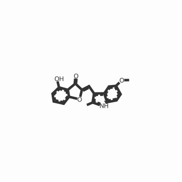 COc1ccc2[nH]c(C)c(C=C3Oc4cccc(O)c4C3=O)c2c1